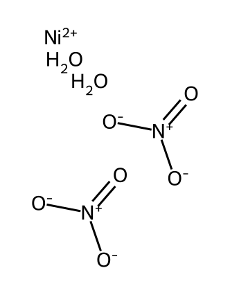 O.O.O=[N+]([O-])[O-].O=[N+]([O-])[O-].[Ni+2]